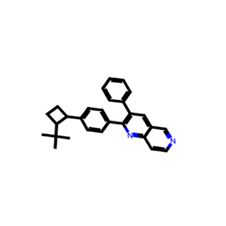 CC(C)(C)C1CC[C]1c1ccc(-c2nc3ccncc3cc2-c2ccccc2)cc1